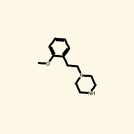 COc1ccccc1CCN1CCNCC1